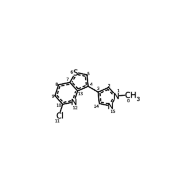 Cn1cc(-c2csc3ccc(Cl)nc23)cn1